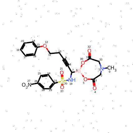 CN1CC(=O)OB(C(C#CCCOc2ccccc2)NS(=O)(=O)c2ccc([N+](=O)[O-])cc2)OC(=O)C1